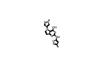 Cc1cc(Nc2nc(O)c3c(ccn3-c3cnn(C)c3)n2)on1